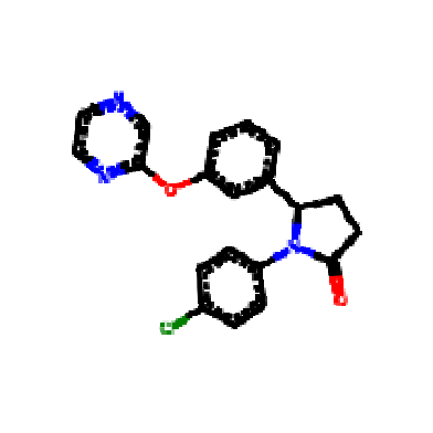 O=C1CCC(c2cccc(Oc3cnccn3)c2)N1c1ccc(Cl)cc1